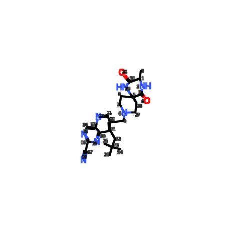 CC1NC(=O)C2(CCN(Cc3cnc4cnc(C#N)nc4c3CC(C)(C)C)CC2)NC1=O